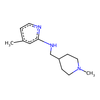 Cc1ccnc(NCC2CCN(C)CC2)c1